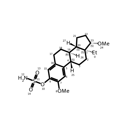 CC[C@]12CC[C@@H]3c4cc(OC)c(OS(N)(=O)=O)cc4CC[C@H]3[C@@H]1CC[C@@H]2OC